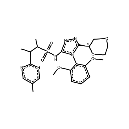 COc1cccc(OC)c1-n1c(NS(=O)(=O)C(C)C(C)c2ncc(C)cn2)nnc1[C@H]1COCCO1